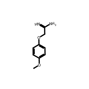 COc1ccc(OCC(=N)N)cc1